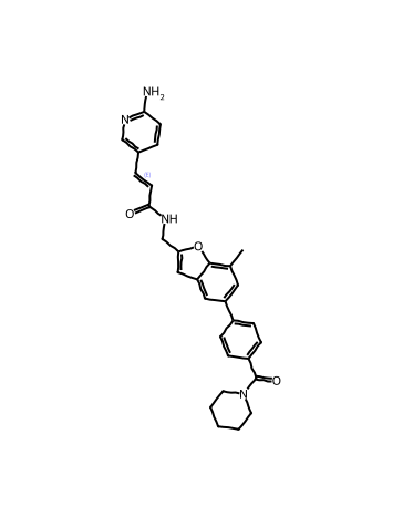 Cc1cc(-c2ccc(C(=O)N3CCCCC3)cc2)cc2cc(CNC(=O)/C=C/c3ccc(N)nc3)oc12